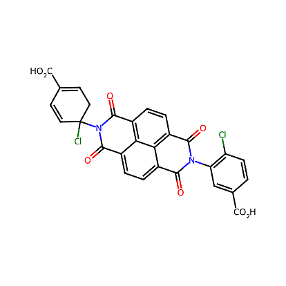 O=C(O)C1=CCC(Cl)(N2C(=O)c3ccc4c5c(ccc(c35)C2=O)C(=O)N(c2cc(C(=O)O)ccc2Cl)C4=O)C=C1